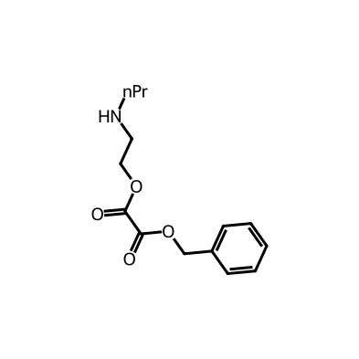 CCCNCCOC(=O)C(=O)OCc1ccccc1